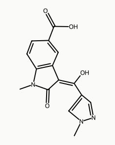 CN1C(=O)C(=C(O)c2cnn(C)c2)c2cc(C(=O)O)ccc21